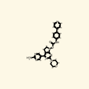 Nc1ncc(-c2nc(N3CCOCC3)nc3c2CCN3OC(=O)Nc2ccc(-c3ccncc3)cc2)cn1